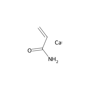 C=CC(N)=O.[Ca]